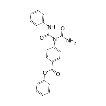 NC(=O)N(C(=O)Nc1ccccc1)c1ccc(C(=O)Oc2ccccc2)cc1